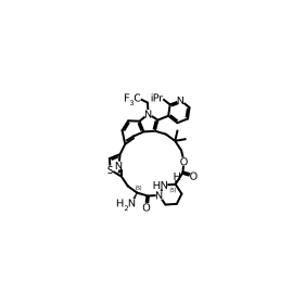 CC(C)c1ncccc1-c1c2c3cc(ccc3n1CC(F)(F)F)-c1csc(n1)C[C@H](N)C(=O)N1CCC[C@H](N1)C(=O)OCC(C)(C)C2